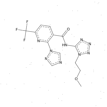 COCCn1nnnc1NC(=O)c1ccc(C(F)(F)F)nc1-n1cncn1